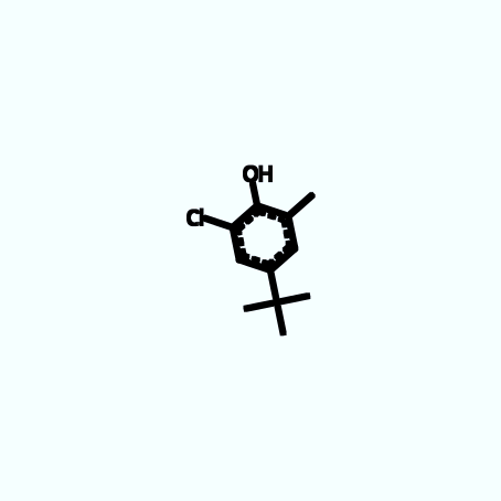 Cc1cc(C(C)(C)C)cc(Cl)c1O